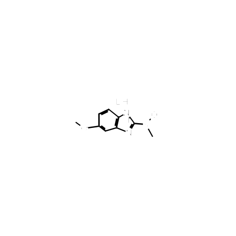 COc1ccc2[nH]c([S+](C)[O-])nc2c1.[LiH]